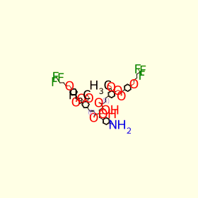 COc1cc(/C=C/C(=O)C(O)CC(O)(Cc2ccc(N)cc2)C(=O)/C=C/c2ccc(OC(=O)c3ccc(OCCCC(F)(F)F)cc3)c(OC)c2)ccc1OC(=O)c1ccc(OCCCC(F)(F)F)cc1